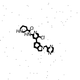 O=C(Nc1cc(-c2ccc3c(c2)N(Cc2cnccn2)CC3)c(Cl)cn1)C1CCCNC1